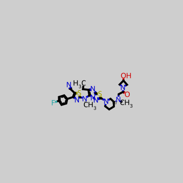 CCc1nc2sc(N3CCC[C@@H](N(C)CC(=O)N4CC(O)C4)C3)nn2c1N(C)c1nc(-c2ccc(F)cc2)c(C#N)s1